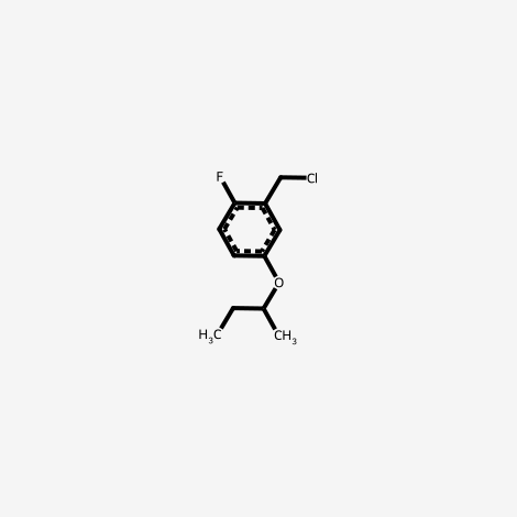 CCC(C)Oc1ccc(F)c(CCl)c1